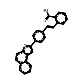 O=C(O)c1ccccc1C=Cc1ccc(-c2cc3c(ccc4ccccc43)o2)cc1